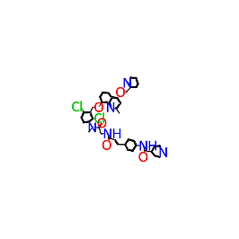 Cc1cc(OCc2ccccn2)c2cccc(OCc3c(Cl)ccc(N(C)C(=O)CNC(=O)C=Cc4ccc(NC(=O)c5ccncc5)cc4)c3Cl)c2n1